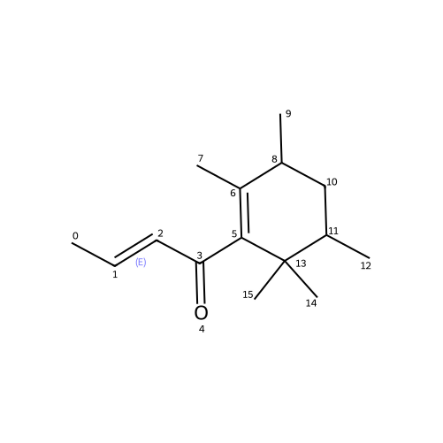 C/C=C/C(=O)C1=C(C)C(C)CC(C)C1(C)C